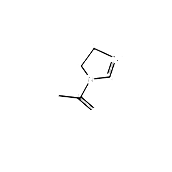 C=C(C)N1C=NCC1